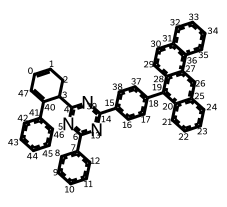 C1=CCC(c2nc(-c3ccccc3)nc(-c3ccc(-c4c5ccccc5cc5c4ccc4ccccc45)cc3)n2)C(c2ccccc2)=C1